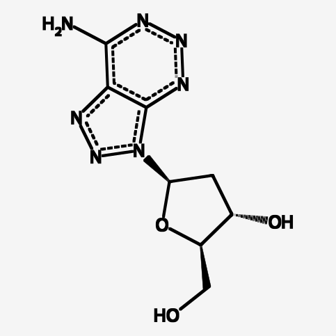 Nc1nnnc2c1nnn2[C@H]1C[C@H](O)[C@@H](CO)O1